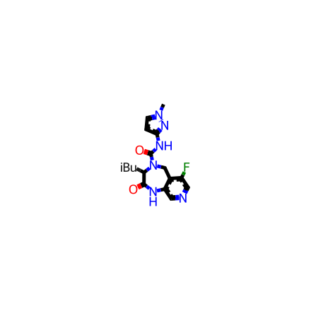 CCC(C)C1C(=O)Nc2cncc(F)c2CN1C(=O)Nc1ccn(C)n1